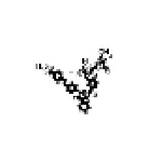 CCOP(=O)(CCCC(=O)N(Cc1cccc(C(=O)Nc2sc3c(c2C(=O)Nc2ccc(CCc4ccc(C(=O)OC)cc4)cc2)CCCC3)c1)C(C)C)OCC